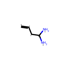 C=CCC(N)N